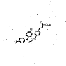 COC(=O)CCc1ccc(OCCN(C)C(c2ccc(Cl)cc2)c2ccc(Cl)cc2)cc1